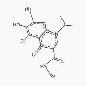 CC(C)n1cc(C(=O)NS)c(=O)c2c(Cl)c(O)c(O)cc21